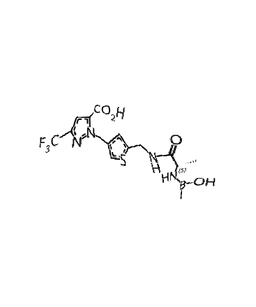 CB(O)N[C@@H](C)C(=O)NCc1cc(-n2nc(C(F)(F)F)cc2C(=O)O)cs1